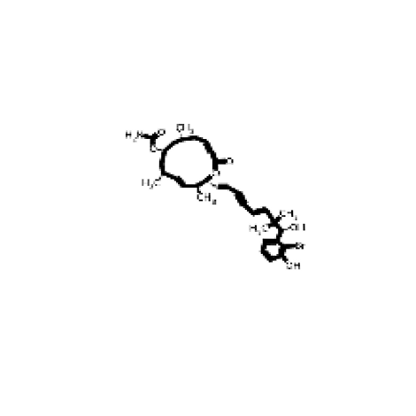 C[C@@H]1C/C=C\C(=O)O[C@H](/C=C/C#C/C=C/C(C)(C)[C@H](O)c2cccc(O)c2Br)[C@@H](C)/C=C/[C@H](C)C[C@H](OC(N)=O)C1